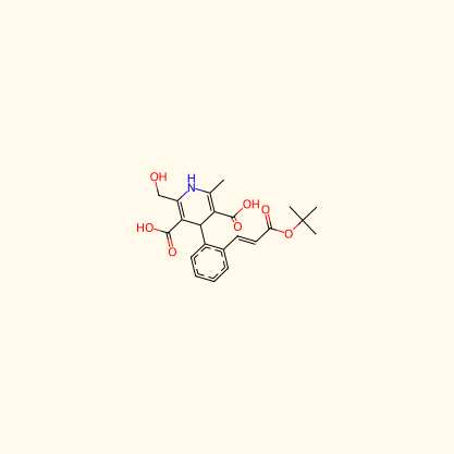 CC1=C(C(=O)O)C(c2ccccc2C=CC(=O)OC(C)(C)C)C(C(=O)O)=C(CO)N1